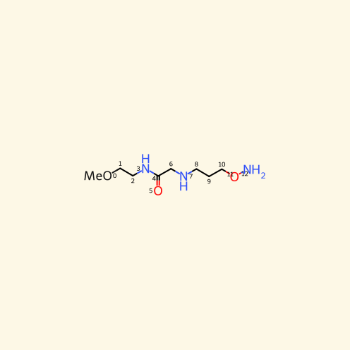 COCCNC(=O)CNCCCON